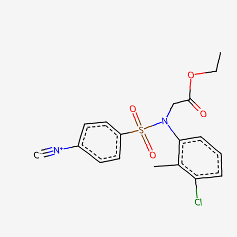 [C-]#[N+]c1ccc(S(=O)(=O)N(CC(=O)OCC)c2cccc(Cl)c2C)cc1